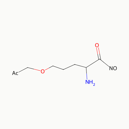 CC(=O)COCCCC(N)C(=O)N=O